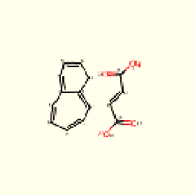 C1=CC=C2CC=CC=C2C=C1.O=C(O)/C=C/C(=O)O